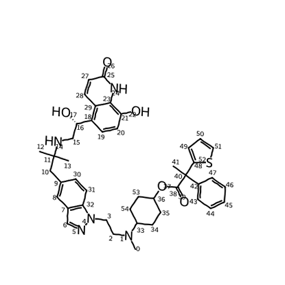 CN(CCn1ncc2cc(CC(C)(C)NC[C@H](O)c3ccc(O)c4[nH]c(=O)ccc34)ccc21)C1CCC(OC(=O)C(C)(c2ccccc2)c2cccs2)CC1